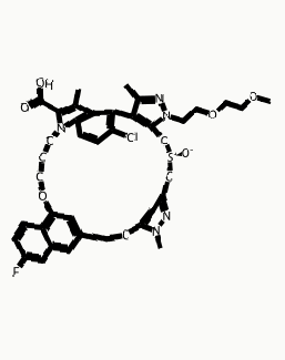 COCCOCCn1nc(C)c2c1C[S@@+]([O-])Cc1cc(n(C)n1)CCc1cc(c3ccc(F)cc3c1)OCCCn1c(C(=O)O)c(C)c3c-2c(Cl)ccc31